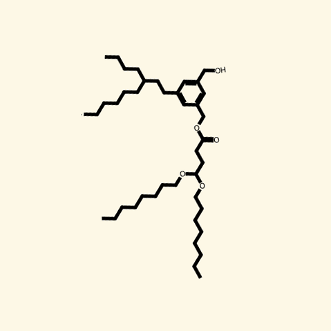 [CH2]CCCCCC(CCCC)CCc1cc(CO)cc(COC(=O)CCC(OCCCCCCCC)OCCCCCCCC)c1